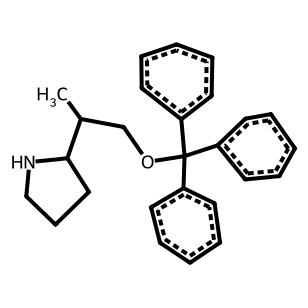 CC(COC(c1ccccc1)(c1ccccc1)c1ccccc1)C1CCCN1